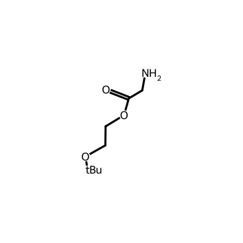 CC(C)(C)OCCOC(=O)CN